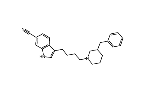 N#Cc1ccc2c(CCCCN3CCCC(Cc4ccccc4)C3)c[nH]c2c1